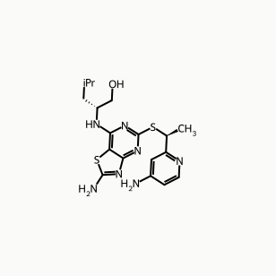 CC(C)C[C@H](CO)Nc1nc(S[C@@H](C)c2cc(N)ccn2)nc2nc(N)sc12